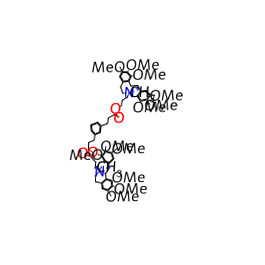 COc1cc(CC2c3c(cc(OC)c(OC)c3OC)CC[N+]2(C)CCCOC(=O)CCc2cccc(CCC(=O)OCCC[N+]3(C)CCc4cc(OC)c(OC)c(OC)c4C3Cc3cc(OC)c(OC)c(OC)c3)c2)cc(OC)c1OC